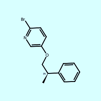 C[C@@H](COc1ccc(Br)nc1)c1ccccc1